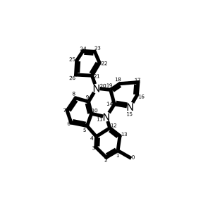 Cc1ccc2c3cccc4c3n(c2c1)-c1ncccc1N4c1ccccc1